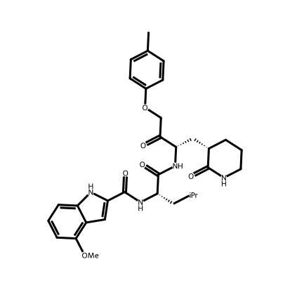 COc1cccc2[nH]c(C(=O)N[C@@H](CC(C)C)C(=O)N[C@@H](C[C@@H]3CCCNC3=O)C(=O)COc3ccc(C)cc3)cc12